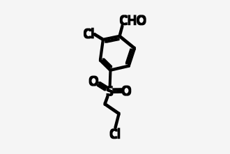 O=Cc1ccc(S(=O)(=O)CCCl)cc1Cl